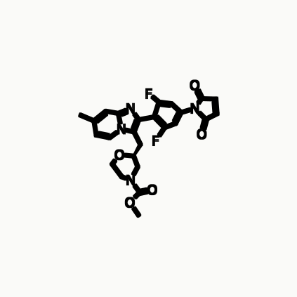 COC(=O)N1CCO[C@@H](Cc2c(-c3c(F)cc(N4C(=O)C=CC4=O)cc3F)nc3cc(C)ccn23)C1